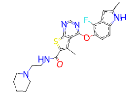 Cc1cc2c(F)c(Oc3ncnc4sc(C(=O)NCCN5CCCCC5)c(C)c34)ccc2[nH]1